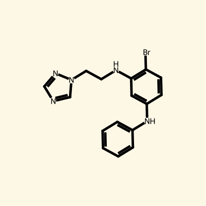 Brc1ccc(Nc2ccccc2)cc1NCCn1cncn1